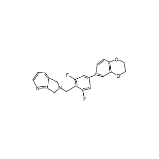 Fc1cc(-c2ccc3c(c2)OCCO3)cc(F)c1CN1Cc2cccnc2C1